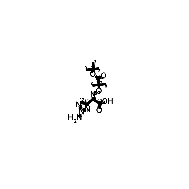 CC(C)(C)OC(=O)C(C)(C)ON=C(C(=O)O)c1cnn(N)n1